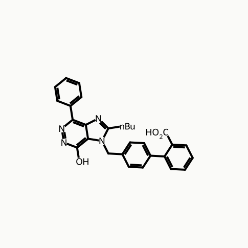 CCCCc1nc2c(-c3ccccc3)nnc(O)c2n1Cc1ccc(-c2ccccc2C(=O)O)cc1